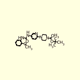 COc1ccccc1NC(=O)Nc1ccc(N2CCN(C(=O)OC(C)(C)C)CC2)nc1